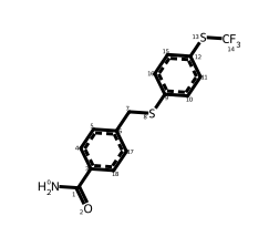 NC(=O)c1ccc(CSc2ccc(SC(F)(F)F)cc2)cc1